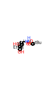 CC[C@@H]1C2C[C@H](O)CCC2(C)[C@H]2CCC3(C)[C@@H]([C@H](C)CNC(=O)NS(=O)(=O)c4cccc(C(C)(C)C)c4)CC[C@H]3[C@@H]2[C@@H]1O